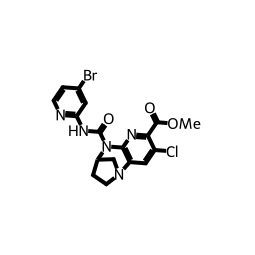 COC(=O)c1nc2c(cc1Cl)N1CCC(C1)N2C(=O)Nc1cc(Br)ccn1